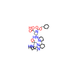 CNCC1(Cn2c(C)nc3cccc(-c4cccc(N[C@H]5C[C@@H](C(=O)O)N(C(=O)OCc6ccccc6)C5)n4)c32)COC1